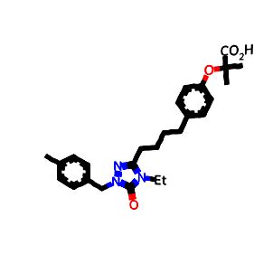 CCn1c(CCCCc2ccc(OC(C)(C)C(=O)O)cc2)nn(Cc2ccc(C)cc2)c1=O